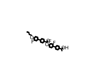 C=CCCOc1ccc(-c2ccc(C(=O)Oc3ccc(-c4ccc(C(C)O)cc4)c(F)c3F)cc2)cc1F